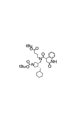 CC(C)(C)OC(=O)CCCN(C[C@@H]1CN(C(=O)OC(C)(C)C)C[C@H]1CC1CCCCC1)C(=O)C1CC(=O)Nc2ccccc21